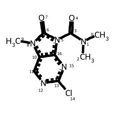 CN(C)C(=O)n1c(=O)n(C)c2cnc(Cl)nc21